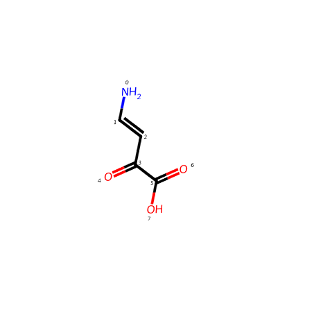 NC=CC(=O)C(=O)O